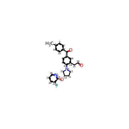 Cc1ccc(C(=O)c2ccc(N3CC[C@H](Oc4ncccc4F)C3)c(CC=O)c2)cc1